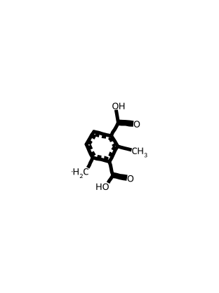 [CH2]c1ccc(C(=O)O)c(C)c1C(=O)O